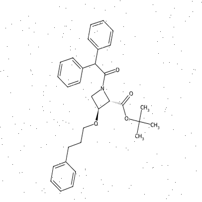 CC(C)(C)OC(=O)[C@@H]1[C@@H](OCCCc2ccccc2)CN1C(=O)C(c1ccccc1)c1ccccc1